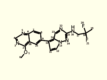 COc1ncnc2ccc(-c3ccn4nc(NCC(C)(F)F)ncc34)cc12